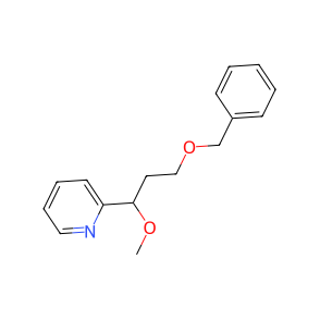 COC(CCOCc1ccccc1)c1ccccn1